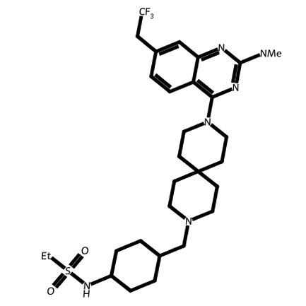 CCS(=O)(=O)NC1CCC(CN2CCC3(CC2)CCN(c2nc(NC)nc4cc(CC(F)(F)F)ccc24)CC3)CC1